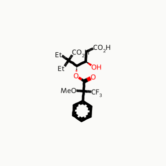 CCC(CC)(C(=O)O)[C@@H](OC(=O)C(OC)(c1ccccc1)C(F)(F)F)[C@H](O)CC(=O)O